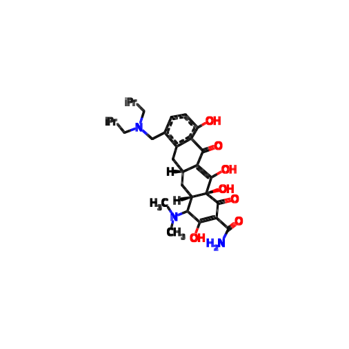 CC(C)CN(Cc1ccc(O)c2c1C[C@H]1C[C@H]3C(N(C)C)C(O)=C(C(N)=O)C(=O)[C@@]3(O)C(O)=C1C2=O)CC(C)C